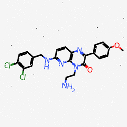 COc1ccc(-c2nc3ccc(NCc4ccc(Cl)c(Cl)c4)nc3n(CCN)c2=O)cc1